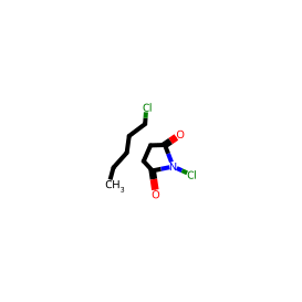 CCCCCCl.O=C1CCC(=O)N1Cl